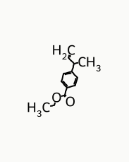 C=CC(C)c1ccc(C(=O)OCC)cc1